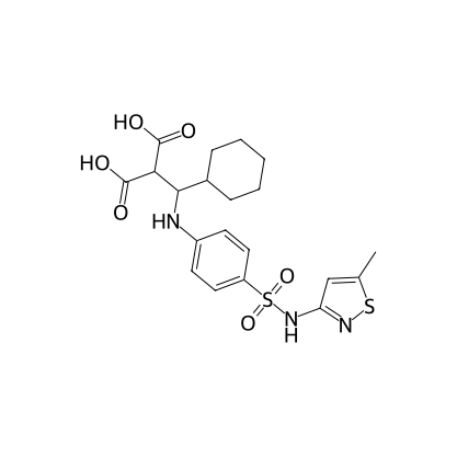 Cc1cc(NS(=O)(=O)c2ccc(NC(C3CCCCC3)C(C(=O)O)C(=O)O)cc2)ns1